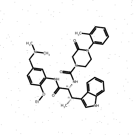 CCOc1ccc(CN(C)C)cc1NC(=O)[C@H](NC(=O)N1CCN(c2ccccc2C)C(=O)C1)[C@@H](C)c1c[nH]c2ccccc12